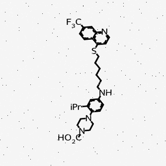 CC(C)c1cc(NCCCCCCSc2ccnc3cc(C(F)(F)F)ccc23)ccc1N1CCN(C(=O)O)CC1